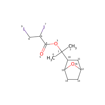 CC(C)(OC(=O)C(I)CI)C1CC2CCC1O2